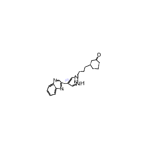 N=C/C(=C\NCCCC1CCCC(=O)C1)c1cnc2ccccc2n1